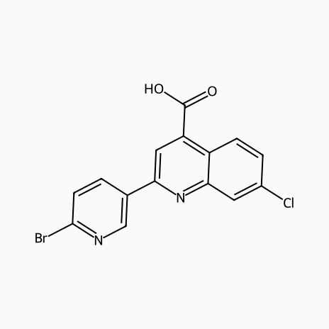 O=C(O)c1cc(-c2ccc(Br)nc2)nc2cc(Cl)ccc12